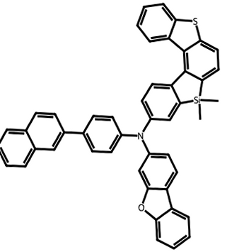 C[Si]1(C)c2cc(N(c3ccc(-c4ccc5ccccc5c4)cc3)c3ccc4c(c3)oc3ccccc34)ccc2-c2c1ccc1sc3ccccc3c21